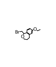 CCOc1ccc2c(c1)CCCOC2CBr